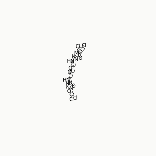 Cn1c(N[C@@H]2CCC[C@H](OC(=O)O[C@H]3CCC[C@@H](Nc4nc5c(c(=O)n(Cc6ccc(Cl)c(Cl)c6)c(=O)n5C)n4C)C3)C2)nc2c1c(=O)n(Cc1ccc(Cl)c(Cl)c1)c(=O)n2C